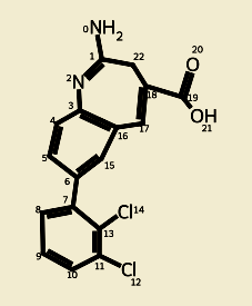 NC1=Nc2ccc(-c3cccc(Cl)c3Cl)cc2C=C(C(=O)O)C1